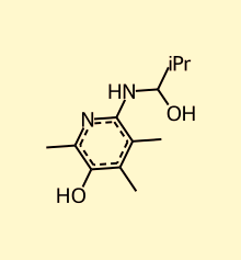 Cc1nc(NC(O)C(C)C)c(C)c(C)c1O